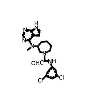 CN(c1ncnc2[nH]ccc12)C1CCCCN(C(C=O)Nc2cc(Cl)cc(Cl)c2)C1